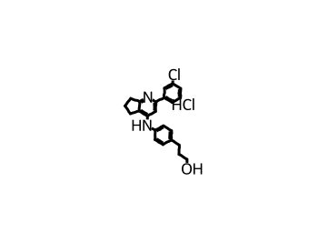 Cl.OCCCc1ccc(Nc2cc(-c3cccc(Cl)c3)nc3c2CCC3)cc1